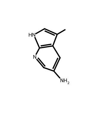 Cc1c[nH]c2ncc(N)cc12